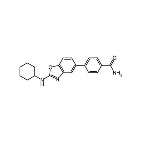 NC(=O)c1ccc(-c2ccc3oc(NC4CCCCC4)nc3c2)cc1